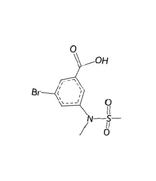 CN(c1cc(Br)cc(C(=O)O)c1)S(C)(=O)=O